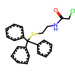 O=C(CCl)NCCSC(c1ccccc1)(c1ccccc1)c1ccccc1